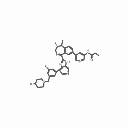 CCC(=O)Nc1cncc(-c2ccc3c(c2)C(c2nc4c(-c5cc(F)cc(CN6CCC(O)CC6)c5)cncc4[nH]2)=NC[C@@H](C)C3C)c1